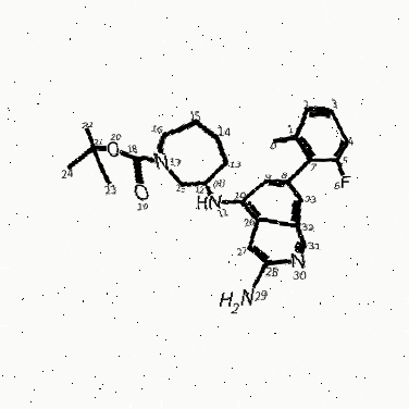 Cc1cccc(F)c1-c1cc(N[C@@H]2CCCCN(C(=O)OC(C)(C)C)C2)c2cc(N)ncc2c1